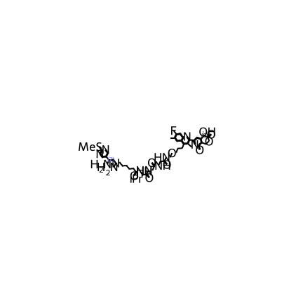 CSc1ncc(/C(N)=C/N(N)CCCCCC(=O)NC(C(=O)NCC(=O)NCC(=O)NCOCCCc2c3c(nc4cc(F)c(C)cc24)-c2cc4c(c(=O)n2C3)COC(=O)[C@H]4O)C(C)C)cn1